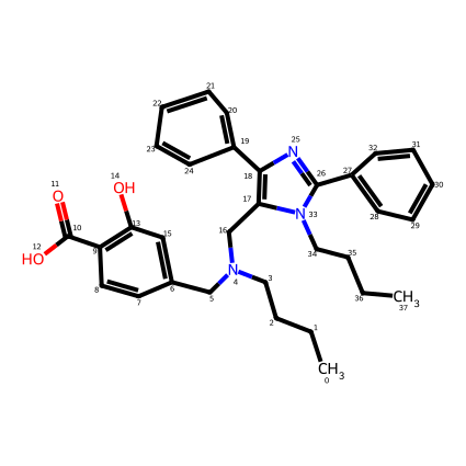 CCCCN(Cc1ccc(C(=O)O)c(O)c1)Cc1c(-c2ccccc2)nc(-c2ccccc2)n1CCCC